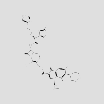 Nc1nc(C(=NOCc2c[nH]cn2)C(=O)N[C@@H]2C(=O)N3C(C(=O)O)=C(COC(=O)c4cn(C5CC5)c5c(Cl)c(N6CCNCC6)c(F)cc5c4=O)CS[C@H]23)cs1